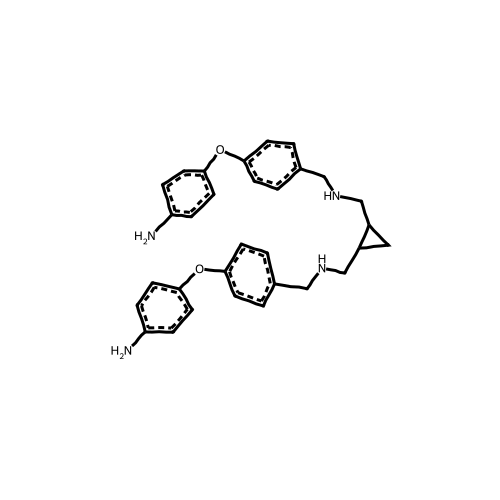 Nc1ccc(Oc2ccc(CNCC3CC3CNCc3ccc(Oc4ccc(N)cc4)cc3)cc2)cc1